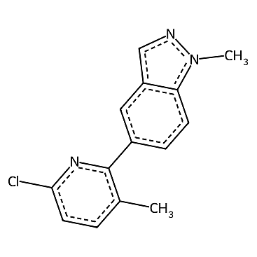 Cc1ccc(Cl)nc1-c1ccc2c(cnn2C)c1